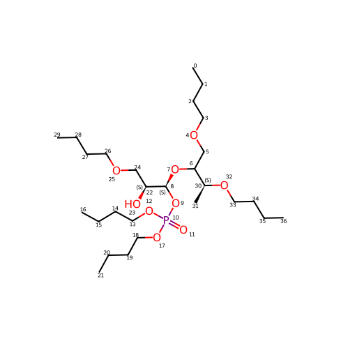 CCCCOCC(O[C@@H](OP(=O)(OCCCC)OCCCC)[C@@H](O)COCCCC)[C@H](C)OCCCC